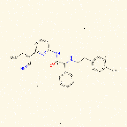 CN/C=C(\C=N)c1cccc(NC(=O)C(NCCc2ccc(C#N)cc2)c2ccccc2)n1